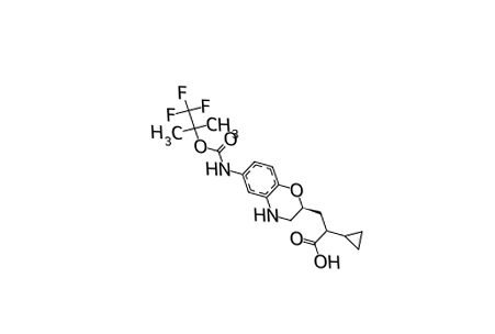 CC(C)(OC(=O)Nc1ccc2c(c1)NC[C@H](CC(C(=O)O)C1CC1)O2)C(F)(F)F